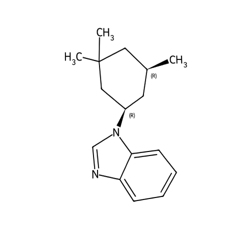 C[C@H]1C[C@@H](n2cnc3ccccc32)CC(C)(C)C1